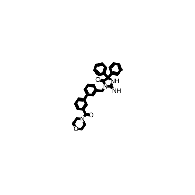 N=C1NC(c2ccccc2)(c2ccccc2)C(=O)N1Cc1cccc(-c2cccc(C(=O)N3CCOCC3)c2)c1